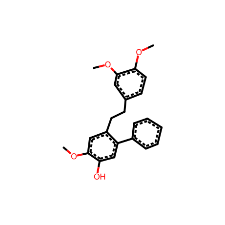 COc1cc(CCc2ccc(OC)c(OC)c2)c(-c2ccccc2)cc1O